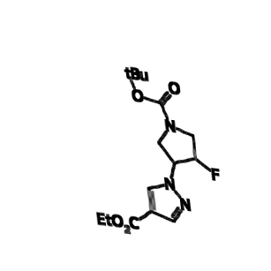 CCOC(=O)c1cnn(C2CN(C(=O)OC(C)(C)C)CC2F)c1